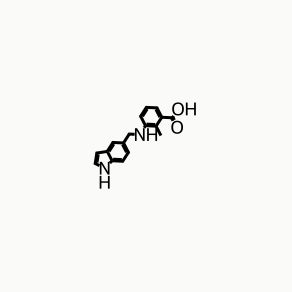 Cc1c(NCc2ccc3[nH]ccc3c2)cccc1C(=O)O